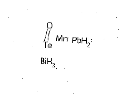 O=[Te].[BiH3].[Mn].[PbH2]